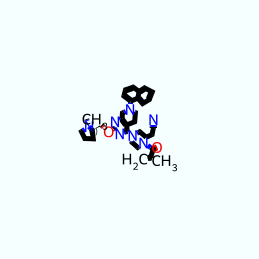 C=C(C)C(=O)N1CCN(c2nc(OC[C@@H]3CCCN3C)nc3c2CCN(c2cccc4ccccc24)C3)CC1CC#N